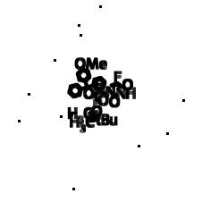 COc1ccc(C(O[C@H]2[C@H](F)[C@H](n3cc(F)c(=O)[nH]c3=O)O[C@@H]2CO[Si](C)(C)C(C)(C)C)(c2ccccc2)c2ccccc2)cc1